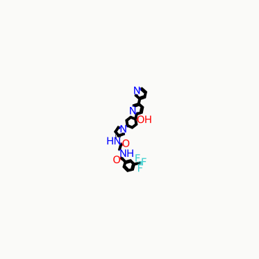 O=C(CNC(=O)c1cccc(C(F)(F)F)c1)N[C@@H]1CCN(C2CCC(O)(c3ccc(-c4cccnc4)cn3)CC2)C1